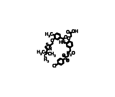 Cc1ccc(C(=O)Nc2cc(CCCS(=O)(=O)c3ccc(Cl)cc3)ccc2OCC(=O)O)cc1OCc1nc(C(C)(C)C)cs1.O